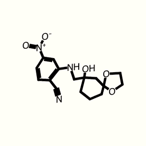 N#Cc1ccc([N+](=O)[O-])cc1NCC1(O)CCCC2(C1)OCCO2